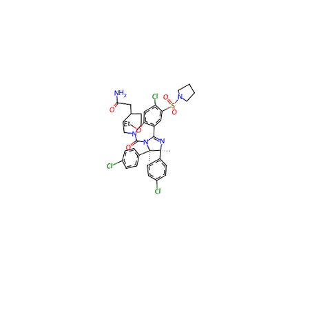 CCOc1cc(Cl)c(S(=O)(=O)N2CCCC2)cc1C1=N[C@@](C)(c2ccc(Cl)cc2)[C@@](C)(c2ccc(Cl)cc2)N1C(=O)N1CCC(CC(N)=O)CC1